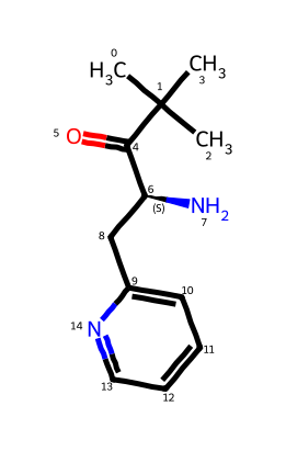 CC(C)(C)C(=O)[C@@H](N)Cc1ccccn1